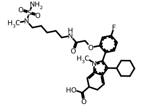 CN(CCCCCNC(=O)COc1cc(F)ccc1-c1c(C2CCCCC2)c2c(n1C)=CC(C(=O)O)CC=2)S(N)(=O)=O